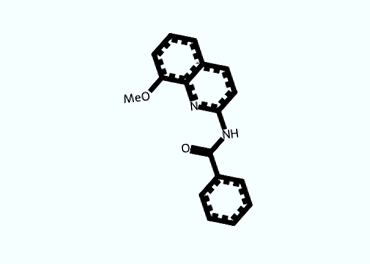 COc1cccc2ccc(NC(=O)c3ccccc3)nc12